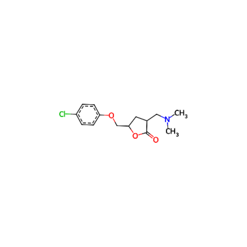 CN(C)CC1CC(COc2ccc(Cl)cc2)OC1=O